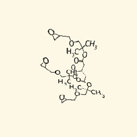 CC(C)(COCC1CO1)OC(=O)CC(CC(=O)OC(C)(C)COCC1CO1)C(=O)OC(C)(C)COCC1CO1